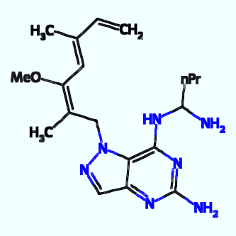 C=C/C(C)=C/C(OC)=C(/C)Cn1ncc2nc(N)nc(NC(N)CCC)c21